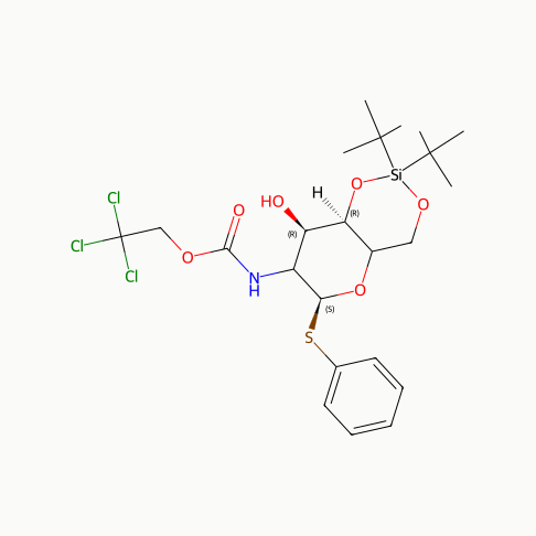 CC(C)(C)[Si]1(C(C)(C)C)OCC2O[C@@H](Sc3ccccc3)C(NC(=O)OCC(Cl)(Cl)Cl)[C@@H](O)[C@H]2O1